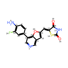 Nc1ccc(-c2cncc3cc(/C=C4\SC(=O)NC4=O)oc23)cc1F